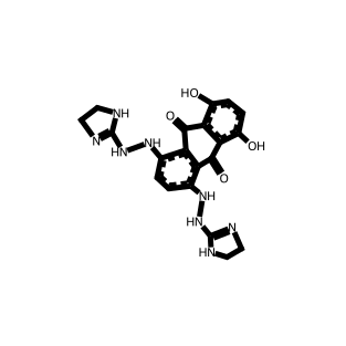 O=C1c2c(O)ccc(O)c2C(=O)c2c(NNC3=NCCN3)ccc(NNC3=NCCN3)c21